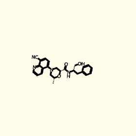 C[C@@H]1CN(c2ccc(C#N)c3ncccc23)C[C@H](C(=O)N[C@H](CO)Cc2ccccc2)O1